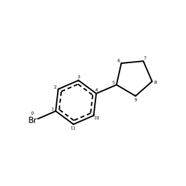 Brc1ccc(C2CCCC2)cc1